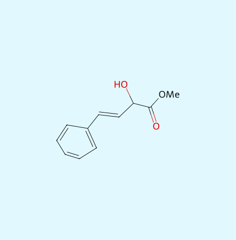 COC(=O)C(O)C=Cc1ccccc1